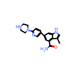 Cc1c[nH]c2cc(-c3ccc(N4CCNCC4)nc3)cc(C(N)=O)c12